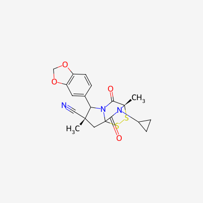 C[C@]1(C#N)CC23SS[C@@](C)(C(=O)N2C1c1ccc2c(c1)OCO2)N(C1CC1)C3=O